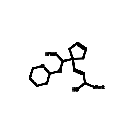 CCCCCC(O)C=CC1(C(CCCCC)OC2CCCCO2)CC=CC1